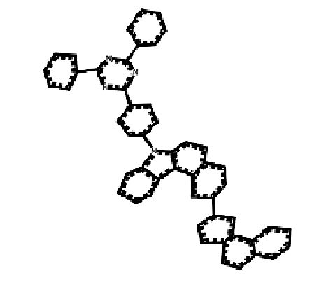 c1ccc(-c2nc(-c3ccccc3)nc(-c3ccc(-n4c5ccccc5c5c6cc(-c7ccc8ccc9ccccc9c8c7)ccc6ccc54)cc3)n2)cc1